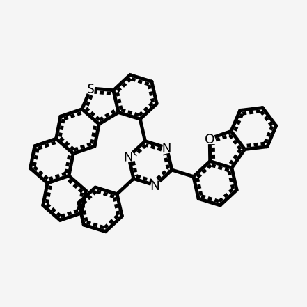 c1ccc(-c2nc(-c3cccc4c3oc3ccccc34)nc(-c3cccc4sc5cc6ccc7ccccc7c6cc5c34)n2)cc1